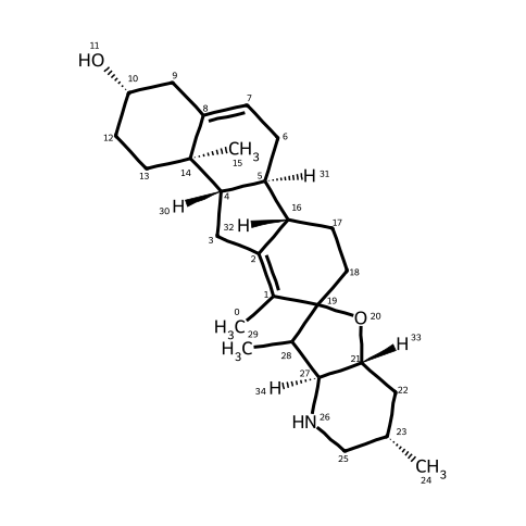 CC1=C2C[C@H]3[C@@H](CC=C4C[C@@H](O)CC[C@@]43C)[C@@H]2CCC12O[C@@H]1C[C@H](C)CN[C@H]1C2C